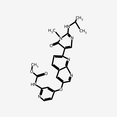 COC(=O)Nc1cc(Oc2cnc3nc(-c4cnc(NC(C)C)n(C)c4=O)ccc3c2)ccn1